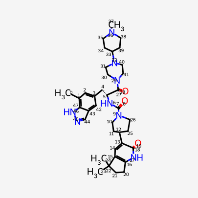 Cc1cc(C[C@@H](NC(=O)N2CCC(c3cc4c([nH]c3=O)CCC4(C)C)CC2)C(=O)N2CCN(C3CCN(C)CC3)CC2)cc2cn[nH]c12